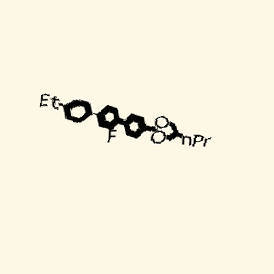 CCCC1COC(c2ccc(-c3ccc([C@H]4CC[C@H](CC)CC4)cc3F)cc2)OC1